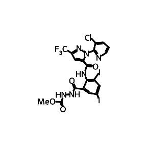 COC(=O)NNC(=O)c1cc(I)cc(I)c1NC(=O)c1cc(C(F)(F)F)nn1-c1ncccc1Cl